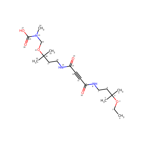 CCOC(C)(C)CCNC(=O)C#CC(=O)NCCC(C)(C)OCN(C)C(=O)O